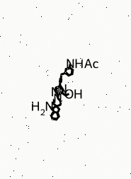 CC(=O)Nc1cccc(CC#Cc2cnc(N3CCC4(CC3)Cc3ccccc3[C@H]4N)c(CO)n2)c1